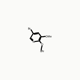 CCCOc1ncc(Br)cc1OC